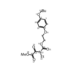 CCC(C)Oc1ccc(OCCOC(=O)N(CC)C(=O)C(=O)OC)cc1